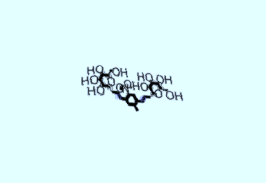 Cc1cc(/C=C/C[C@H]2O[C@H](CO)[C@@H](O)[C@H](O)[C@@H]2O)c([N+](=O)[O-])cc1/C=C/C[C@H]1O[C@H](CO)[C@@H](O)[C@H](O)[C@@H]1O